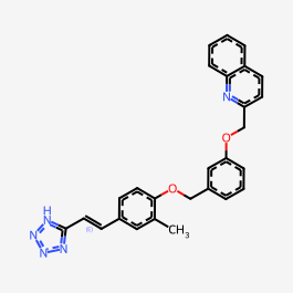 Cc1cc(/C=C/c2nnn[nH]2)ccc1OCc1cccc(OCc2ccc3ccccc3n2)c1